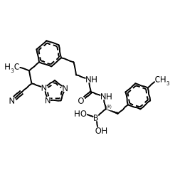 Cc1ccc(C[C@H](NC(=O)NCCc2cccc(C(C)C(C#N)n3cncn3)c2)B(O)O)cc1